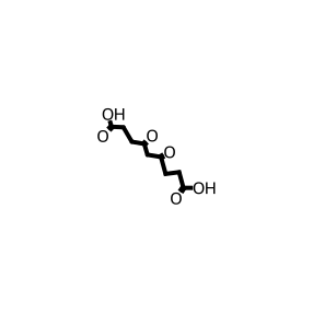 O=C(O)CCC(=O)CC(=O)CCC(=O)O